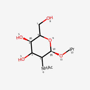 CC(=O)NC1C(O)[C@@H](O)C(CO)O[C@H]1OC(C)C